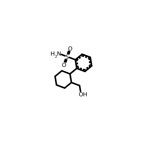 NS(=O)(=O)c1ccccc1C1CCCCC1CO